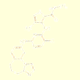 CNC(=O)c1scc(C)c1Nc1nc(Nc2ccc3c(c2)-n2ccnc2CCC3)ncc1Cl